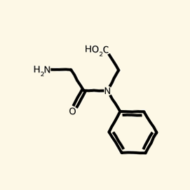 NCC(=O)N(CC(=O)O)c1ccccc1